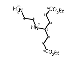 CCOC(=O)CCC(CCC(=O)OCC)NCCN